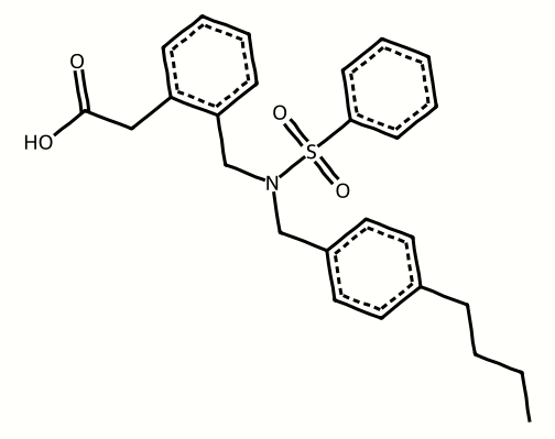 CCCCc1ccc(CN(Cc2ccccc2CC(=O)O)S(=O)(=O)c2ccccc2)cc1